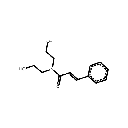 O=C(C=Cc1ccccc1)N(CCO)CCO